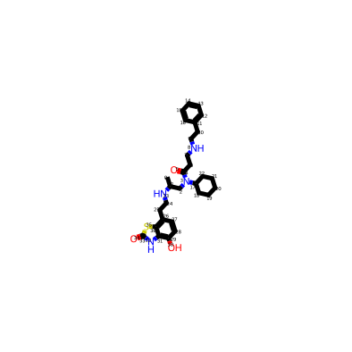 CC(CN(C(=O)CCNCCc1ccccc1)C1CCCCC1)NCCc1ccc(O)c2[nH]c(=O)sc12